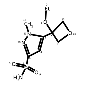 CCOC1(c2cc(S(N)(=O)=O)nn2C)COC1